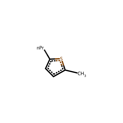 CCCc1ccc(C)s1